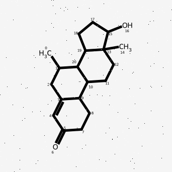 CC1CC2=CC(=O)CCC2C2CCC3(C)C(O)CCC3C12